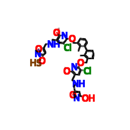 COc1nc(OCc2cccc(-c3cccc(COc4nc(OC)c(CNCc5cc(OS)no5)cc4Cl)c3C)c2C)c(Cl)cc1CNCc1cc(O)no1